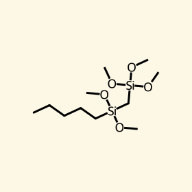 CCCCC[Si](C[Si](OC)(OC)OC)(OC)OC